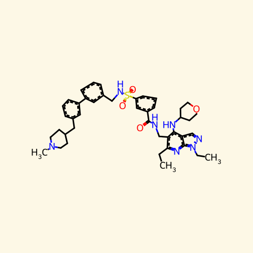 CCc1nc2c(cnn2CC)c(NC2CCOCC2)c1CNC(=O)c1cccc(S(=O)(=O)NCc2cccc(-c3cccc(CC4CCN(C)CC4)c3)c2)c1